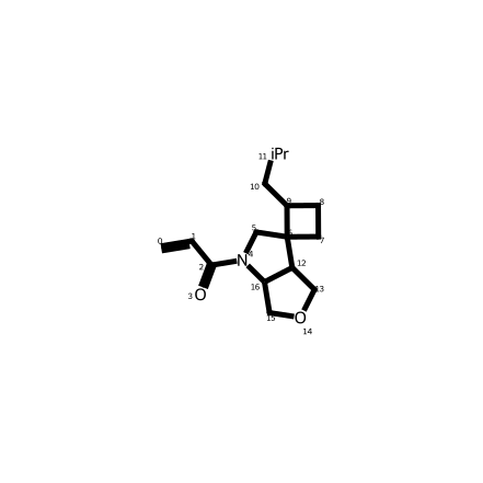 C=CC(=O)N1CC2(CCC2CC(C)C)C2COCC21